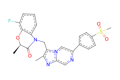 Cc1nc2cnc(-c3ccc(S(C)(=O)=O)cc3)cn2c1CN1C(=O)[C@@H](C)Oc2c(F)cccc21